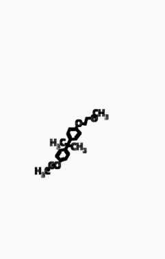 COCCOc1ccc(C(C)(C)c2ccc(OOC)cc2)cc1